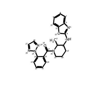 CC1C(Nc2nc3ccccc3o2)CCCN1C(=O)c1ccccc1-n1nccn1